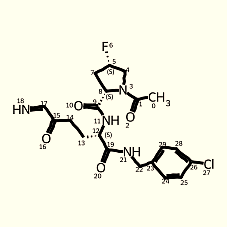 CC(=O)N1C[C@@H](F)C[C@H]1C(=O)N[C@@H](CCC(=O)C=N)C(=O)NCc1ccc(Cl)cc1